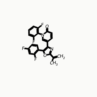 C=C(C)c1nc(-c2ccc(=O)n(-c3c(F)cccc3F)c2)c(-c2ccc(F)cc2F)o1